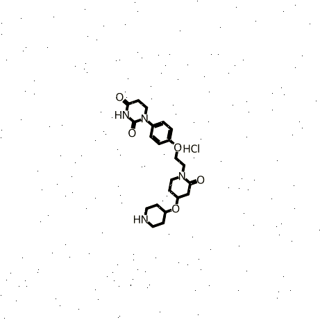 Cl.O=C1CCN(c2ccc(OCCN3CCC(OC4CCNCC4)CC3=O)cc2)C(=O)N1